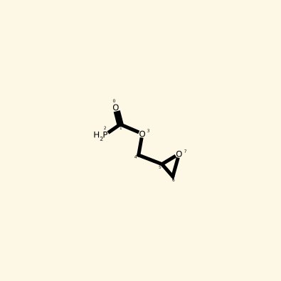 O=C(P)OCC1CO1